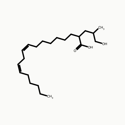 CCCCC/C=C\C/C=C\CCCCCCC(CC(C)CO)C(=O)O